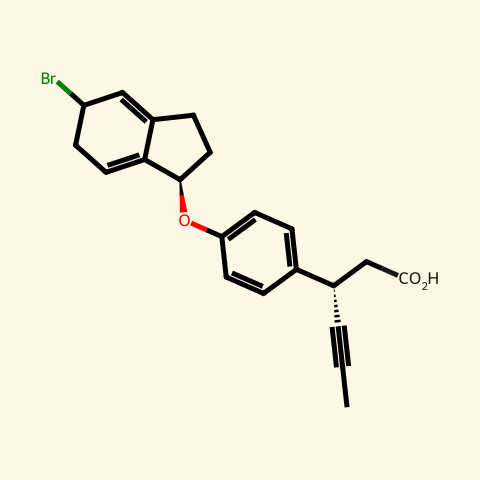 CC#C[C@@H](CC(=O)O)c1ccc(O[C@@H]2CCC3=CC(Br)CC=C32)cc1